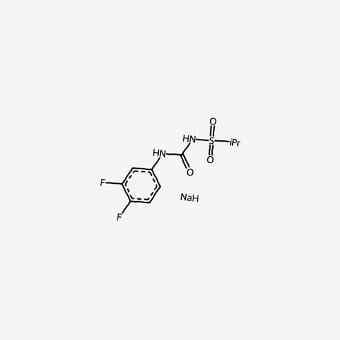 CC(C)S(=O)(=O)NC(=O)Nc1ccc(F)c(F)c1.[NaH]